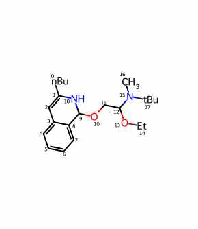 CCCCC1=Cc2ccccc2C(OCC(OCC)N(C)C(C)(C)C)N1